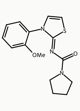 COc1ccccc1-n1ccs/c1=N\C(=O)N1CCCC1